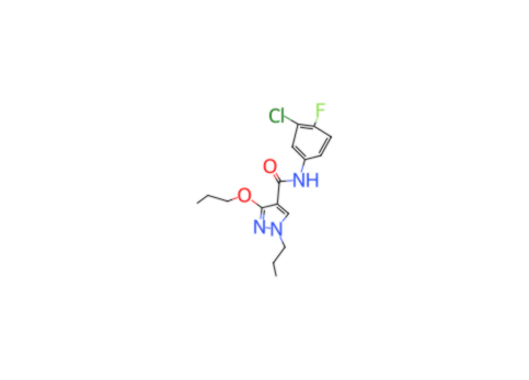 CCCOc1nn(CCC)cc1C(=O)Nc1ccc(F)c(Cl)c1